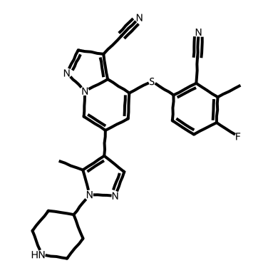 Cc1c(F)ccc(Sc2cc(-c3cnn(C4CCNCC4)c3C)cn3ncc(C#N)c23)c1C#N